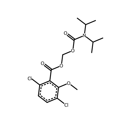 COc1c(Cl)ccc(Cl)c1C(=O)OCOC(=O)N(C(C)C)C(C)C